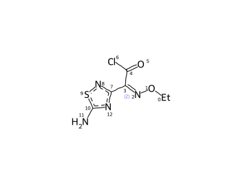 CCO/N=C(\C(=O)Cl)c1nsc(N)n1